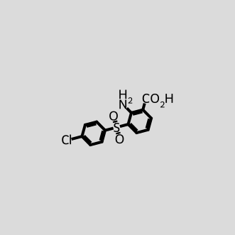 Nc1c(C(=O)O)cccc1S(=O)(=O)c1ccc(Cl)cc1